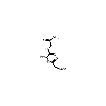 CNCC(=O)N[C@H](C(=O)NCC(N)=O)C(C)C